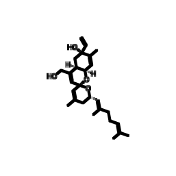 C=C[C@@]1(O)C[C@@H]2C(CO)=C[C@]3(C=C(C)C[C@@H](/C=C(\C)CCC=C(C)C)O3)O[C@@H]2C=C1C